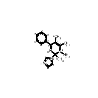 CC1=C(C)N(N)C(C)(n2ccnc2)N=C1c1ccccc1